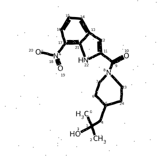 CC(C)(O)CC1CCN(C(=O)c2cc3cccc([N+](=O)[O-])c3[nH]2)CC1